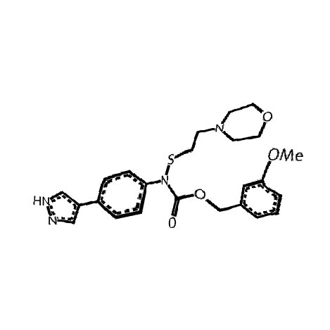 COc1cccc(COC(=O)N(SCCN2CCOCC2)c2ccc(-c3cn[nH]c3)cc2)c1